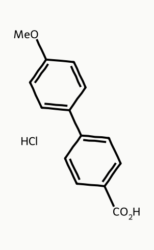 COc1ccc(-c2ccc(C(=O)O)cc2)cc1.Cl